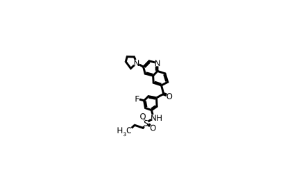 CCCS(=O)(=O)Nc1cc(F)cc(C(=O)c2ccc3ncc(N4CCCC4)cc3c2)c1